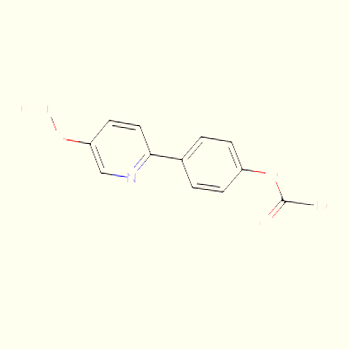 CCCCCCCCOc1ccc(-c2ccc(OC(=O)C(C)CC)cc2)nc1